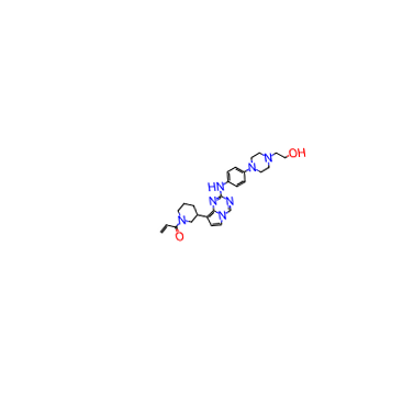 C=CC(=O)N1CCCC(c2ccn3cnc(Nc4ccc(N5CCN(CCO)CC5)cc4)nc23)C1